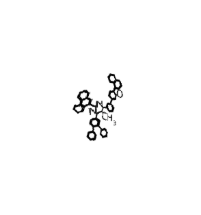 CC1C(c2ccc(-c3ccccc3)c(-c3ccccc3)c2)=NC(c2cc3ccccc3c3ccccc23)=NC1c1cccc(-c2ccc3c(c2)oc2ccc4ccccc4c23)c1